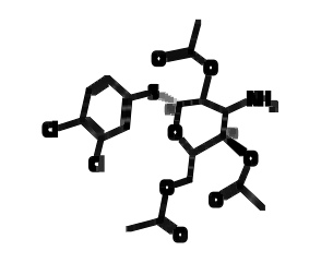 CC(=O)OCC1O[C@H](Sc2ccc(Cl)c(Cl)c2)C(OC(C)=O)C(N)[C@H]1OC(C)=O